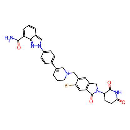 NC(=O)c1cccc2cn(-c3ccc([C@@H]4CCCN(Cc5cc6c(cc5Br)C(=O)N(C5CCC(=O)NC5=O)C6)C4)cc3)nc12